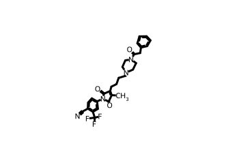 CC1=C(CCCCN2CCN(C(=O)Cc3ccccc3)CC2)C(=O)N(c2ccc(C#N)c(C(F)(F)F)c2)C1=O